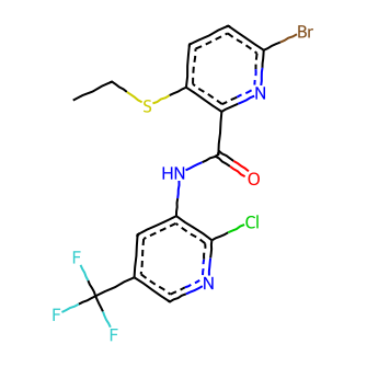 CCSc1ccc(Br)nc1C(=O)Nc1cc(C(F)(F)F)cnc1Cl